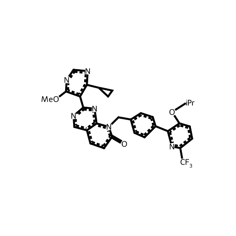 COc1ncnc(C2CC2)c1-c1ncc2ccc(=O)n(Cc3ccc(-c4nc(C(F)(F)F)ccc4OC(C)C)cc3)c2n1